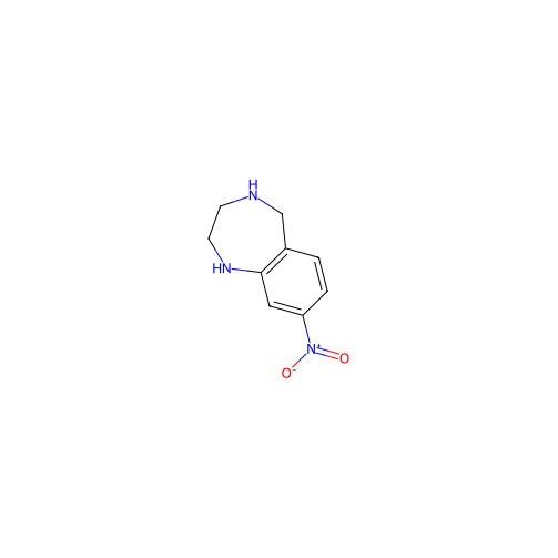 O=[N+]([O-])c1ccc2c(c1)NCCNC2